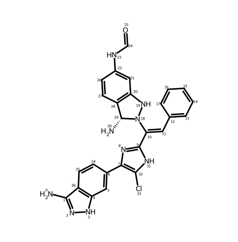 Nc1n[nH]c2cc(-c3nc(C(=Cc4ccccc4)N4Nc5cc(NC=O)ccc5[C@H]4N)[nH]c3Cl)ccc12